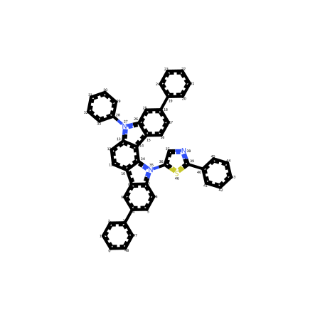 c1ccc(-c2ccc3c(c2)c2ccc4c(c5ccc(-c6ccccc6)cc5n4-c4ccccc4)c2n3-c2cnc(-c3ccccc3)s2)cc1